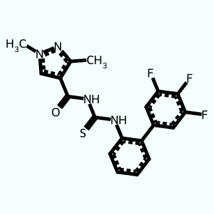 Cc1nn(C)cc1C(=O)NC(=S)Nc1ccccc1-c1cc(F)c(F)c(F)c1